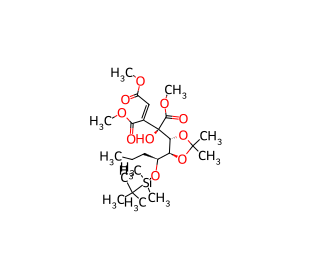 CCC[C@H](O[Si](C)(C)C(C)(C)C)[C@@H]1OC(C)(C)O[C@H]1[C@@](O)(C(=O)OC)/C(=C/C(=O)OC)C(=O)OC